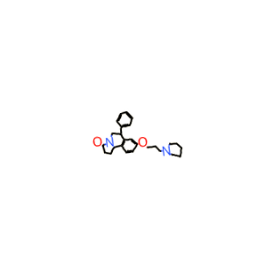 O=C1CCC2c3ccc(OCCCN4CCCCC4)cc3C(c3ccccc3)CN12